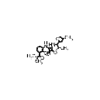 Cc1coc([C@H](Nc2c(Nc3cccc(C(=O)N(C)C)c3O)c(=O)c2=O)C(C)F)c1